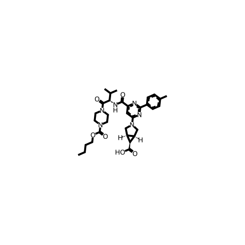 CCCCOC(=O)N1CCN(C(=O)[C@@H](NC(=O)c2cc(N3C[C@@H]4[C@H](C3)[C@@H]4C(=O)O)nc(-c3ccc(C)cc3)n2)C(C)C)CC1